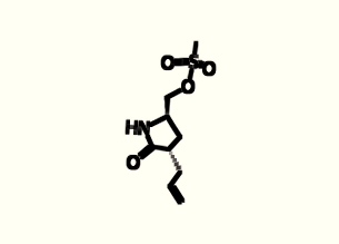 C=CC[C@H]1C[C@H](COS(C)(=O)=O)NC1=O